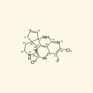 NC1(c2nc(Cl)nc3c(F)c(Cl)ncc23)C=CCC12CCNCC2